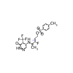 Cc1ccc(S(=O)(=O)OC/C=C(\F)[C@@H](C)Nc2cn[nH]c(=O)c2C(F)(F)F)cc1